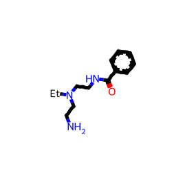 CCN(CCN)CCNC(=O)c1ccccc1